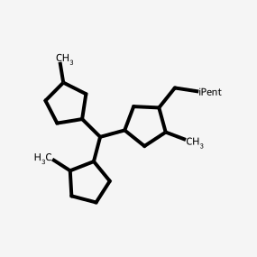 CCCC(C)CC1CC(C(C2CCC(C)C2)C2CCCC2C)CC1C